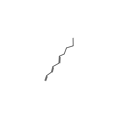 [CH2]CCCC=CC=CC=C